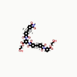 CN1C(=O)c2ccc(C(c3ccc4c(c3)C(=O)N(c3cc(C(=O)OCCCO)cc(N5C(=O)c6ccc(C(c7ccc8c(c7)C(=O)N(c7cccc(C(=O)OCCCO)c7)C8=O)(C(F)(F)F)C(F)(F)F)cc6C5=O)c3)C4=O)(C(F)(F)F)C(F)(F)F)cc2C1=O